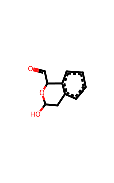 O=CC1OC(O)Cc2ccccc21